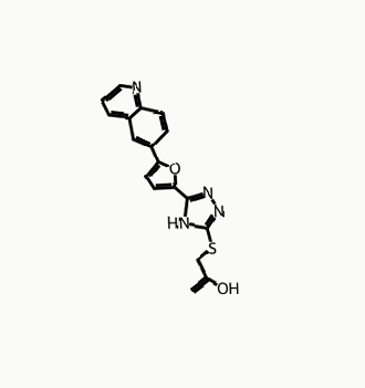 C=C(O)CSc1nnc(-c2ccc(-c3ccc4ncccc4c3)o2)[nH]1